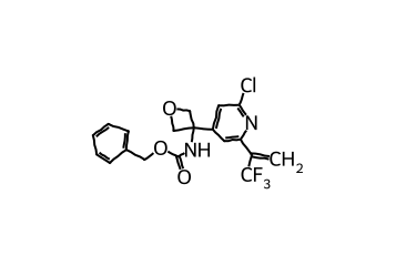 C=C(c1cc(C2(NC(=O)OCc3ccccc3)COC2)cc(Cl)n1)C(F)(F)F